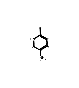 CC1=CC=C(N)CN1